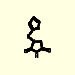 O=C1CN(Sc2cccs2)C(=O)N1